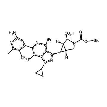 Cc1nc(N)cc(-c2nc(C(C)C)c3c([C@@H]4[C@H]5CN(C(=O)OC(C)(C)C)[C@H](C(=O)O)[C@H]54)nn(C4CC4)c3c2F)c1C(F)(F)F